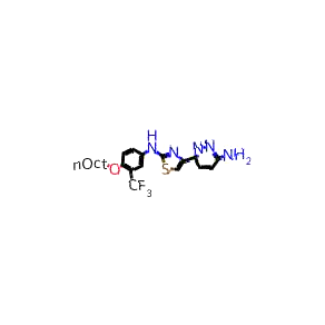 CCCCCCCCOc1ccc(Nc2nc(-c3ccc(N)nn3)cs2)cc1C(F)(F)F